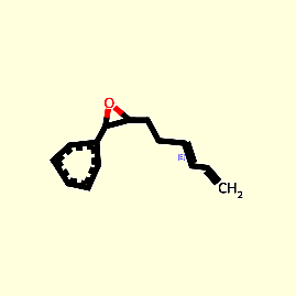 C=C/C=C/CCC1OC1c1ccccc1